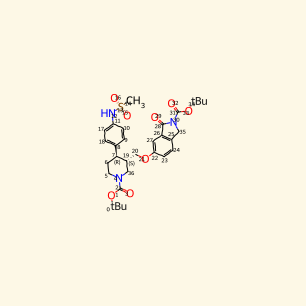 CC(C)(C)OC(=O)N1CC[C@@H](c2ccc(NS(C)(=O)=O)cc2)[C@H](COc2ccc3c(c2)C(=O)N(C(=O)OC(C)(C)C)C3)C1